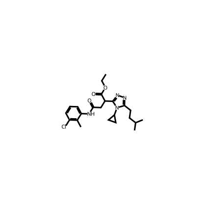 CCOC(=O)C(CC(=O)Nc1cccc(Cl)c1C)c1nnc(CCC(C)C)n1C1CC1